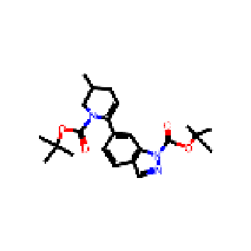 CC1CC=C(c2ccc3cnn(C(=O)OC(C)(C)C)c3c2)N(C(=O)OC(C)(C)C)C1